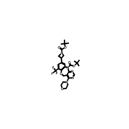 CC(C)(C)OC(=O)N1CC(c2cc3c(c(C(F)(F)F)c2)OCc2c(N4CCOCC4)ncnc2N3C(=O)OC(C)(C)C)C1